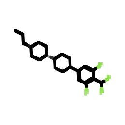 CCC[C@H]1CC[C@H](C2CCC(c3cc(F)c(C(F)F)c(F)c3)CC2)CC1